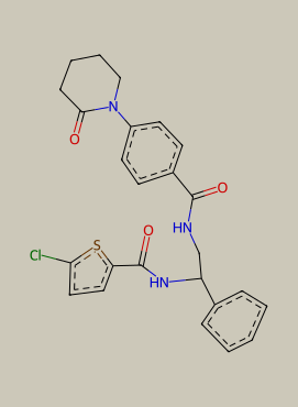 O=C(NCC(NC(=O)c1ccc(Cl)s1)c1ccccc1)c1ccc(N2CCCCC2=O)cc1